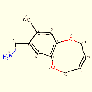 N#Cc1cc2c(cc1CN)OCC=CCO2